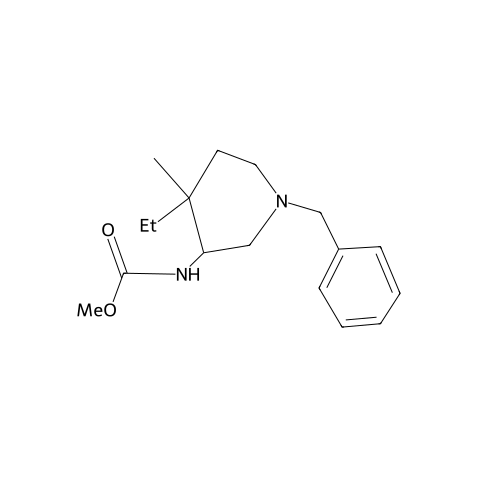 CCC1(C)CCN(Cc2ccccc2)CC1NC(=O)OC